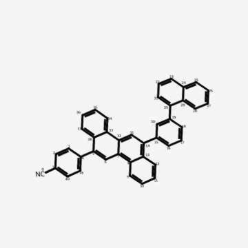 N#Cc1ccc(-c2cc3c4ccccc4c(-c4cccc(-c5cccc6ccccc56)c4)cc3c3ccccc23)cc1